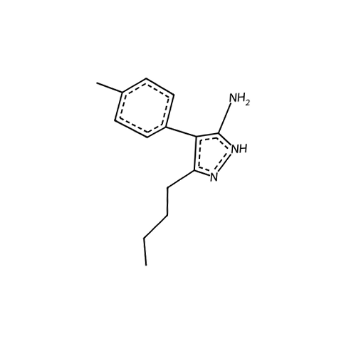 CCCCc1n[nH]c(N)c1-c1ccc(C)cc1